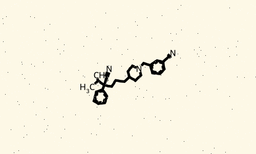 CC(C)C(C#N)(CCCC1CCN(Cc2cccc(C#N)c2)CC1)c1ccccc1